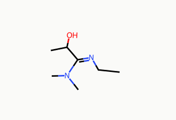 CCN=C(C(C)O)N(C)C